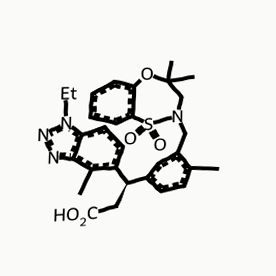 CCn1nnc2c(C)c([C@H](CC(=O)O)c3ccc(C)c(CN4CC(C)(C)Oc5ccccc5S4(=O)=O)c3)ccc21